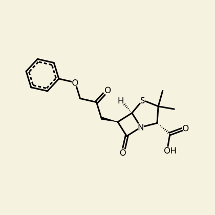 CC1(C)S[C@@H]2[C@H](CC(=O)COc3ccccc3)C(=O)N2[C@H]1C(=O)O